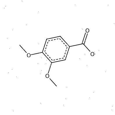 COc1ccc(C([O])=O)cc1OC